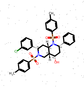 Cc1ccc(S(=O)(=O)N2C[C@H]3[C@@H](O)C[C@@H](c4ccccc4)N(S(=O)(=O)c4ccc(C)cc4)[C@H]3C[C@H]2c2cccc(Cl)c2)cc1